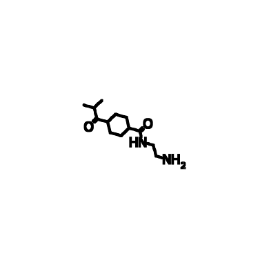 CC(C)C(=O)C1CCC(C(=O)NCCN)CC1